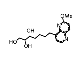 COc1ccc2nccc(CCCC[C@@H](O)[C@@H](O)CO)c2n1